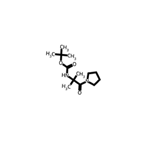 CC(C)(C)OC(=O)NC(C)(C)C(=O)N1CCCC1